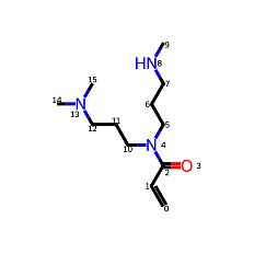 C=CC(=O)N(CCCNC)CCCN(C)C